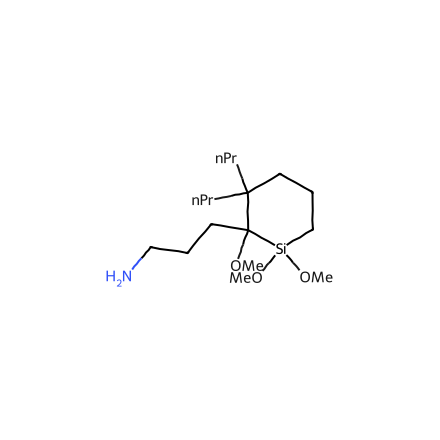 CCCC1(CCC)CCC[Si](OC)(OC)C1(CCCN)OC